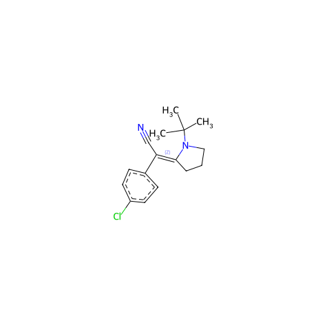 CC(C)(C)N1CCC/C1=C(/C#N)c1ccc(Cl)cc1